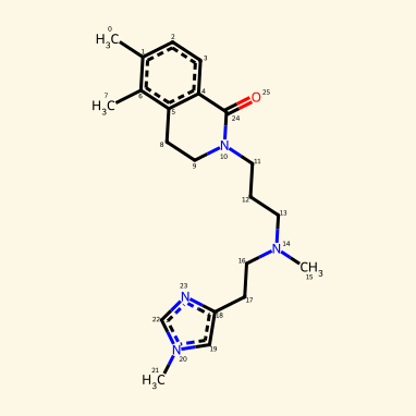 Cc1ccc2c(c1C)CCN(CCCN(C)CCc1cn(C)cn1)C2=O